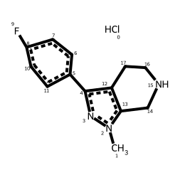 Cl.Cn1nc(-c2ccc(F)cc2)c2c1CNCC2